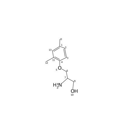 Cc1ccc(OCC(N)CO)c(C)c1